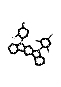 N#Cc1ccc(-n2c3ccccc3c3cc4c5ccccc5n(-c5c(F)cc(F)cc5F)c4cc32)c(C#N)c1